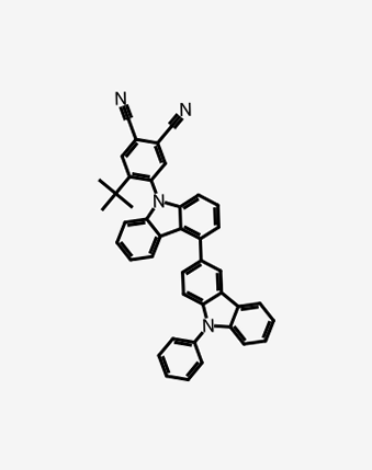 CC(C)(C)c1cc(C#N)c(C#N)cc1-n1c2ccccc2c2c(-c3ccc4c(c3)c3ccccc3n4-c3ccccc3)cccc21